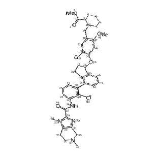 COC(=O)C1CCCCN1Cc1cc(Cl)c(OC2CCc3c(-c4cccc(NC(=O)c5nc6c(n5C)CCN(C)C6)c4Cl)cccc32)cc1OC